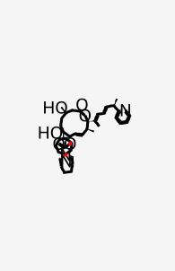 C/C(=C\C=C\[C@@H](C)c1ccccn1)[C@H]1OC(=O)C[C@H](O)CC[C@@](C)(O)[C@@H](OC(=O)N2CC3CCC(C2)N3C2CCCCCC2)/C=C/[C@@H]1C